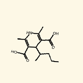 CCCC(C)C1C(C(=O)O)=C(C)NC(C)=C1C(=O)O